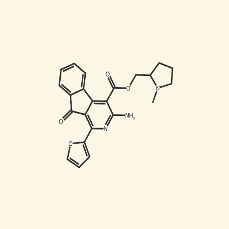 CN1CCCC1COC(=O)c1c(N)nc(-c2ccco2)c2c1-c1ccccc1C2=O